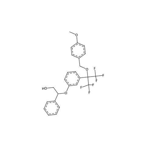 COc1ccc(COC(c2cccc(OC(CO)c3ccccc3)c2)(C(F)(F)F)C(F)(F)F)cc1